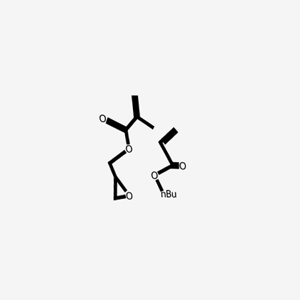 C=C(C)C(=O)OCC1CO1.C=CC(=O)OCCCC